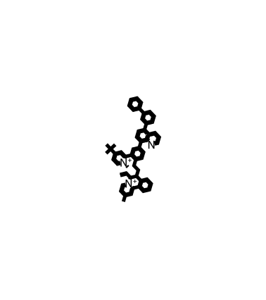 C=CC1C(CCc2ccc(-c3ccc(-c4cccc(-c5ccccc5)c4)c4cccnc34)cc2-c2cc(C(C)(C)C)cc[n+]2C)c2ccccc2-c2cc(C)cc[n+]21